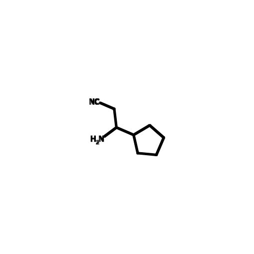 N#CCC(N)C1CCCC1